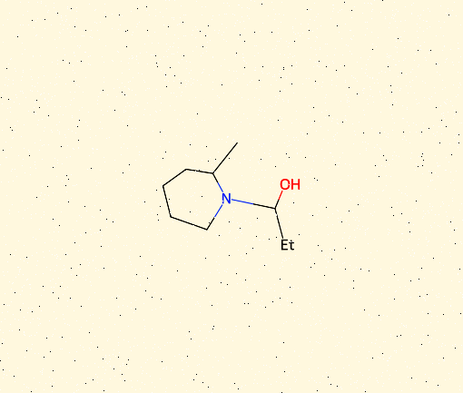 CCC(O)N1CCCCC1C